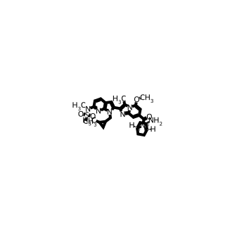 COc1cc(C(=O)N2[C@H]3CC[C@@H]2[C@H](N)C3)cc2nc(-c3cc4ccc(N(C)S(C)(=O)=O)nc4n3CC3CC3C)c(C)n12